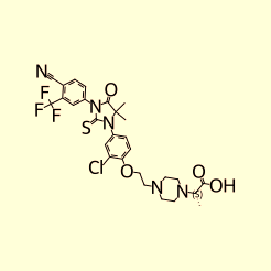 C[C@@H](C(=O)O)N1CCN(CCOc2ccc(N3C(=S)N(c4ccc(C#N)c(C(F)(F)F)c4)C(=O)C3(C)C)cc2Cl)CC1